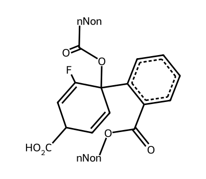 CCCCCCCCCOC(=O)c1ccccc1C1(OC(=O)CCCCCCCCC)C=CC(C(=O)O)C=C1F